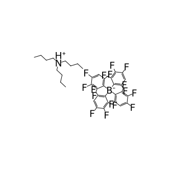 CCCC[NH+](CCCC)CCCC.Fc1cc(F)c([B-](c2c(F)cc(F)c(F)c2F)(c2c(F)cc(F)c(F)c2F)c2c(F)cc(F)c(F)c2F)c(F)c1F